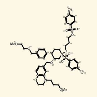 COCCCN1CCOc2ccc(CO[C@H]3C[N+](OCCCOS(=O)(=O)c4ccc(C)cc4)(S(=O)(=O)c4ccc(C)cc4)CC[C@H]3c3ccc(COCCOC)cc3)cc21